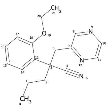 CCCC(C#N)(Cc1cnccn1)c1ccccc1OCC